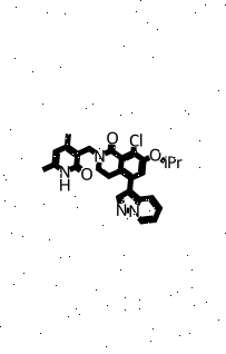 Cc1cc(C)c(CN2CCc3c(-c4cnn5ccccc45)cc(OC(C)C)c(Cl)c3C2=O)c(=O)[nH]1